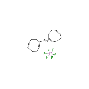 C1=CCC[C]([Rh+][C]2=CCCC=CCC2)=CCC1.F[P-](F)(F)(F)(F)F